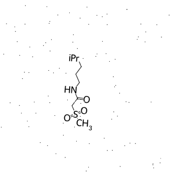 CC(C)CCCNC(=O)CS(C)(=O)=O